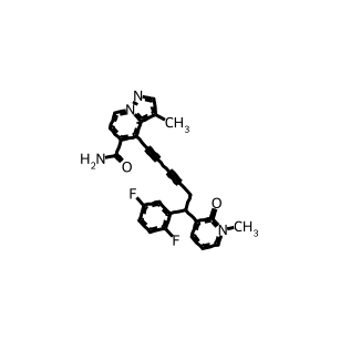 Cc1cnn2ccc(C(N)=O)c(C#CC#CCC(c3cc(F)ccc3F)c3cccn(C)c3=O)c12